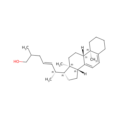 CC(CO)CC=C[C@@H](C)[C@H]1CC[C@H]2C3=CC=C4CCCC[C@]4(C)[C@H]3CC[C@]12C